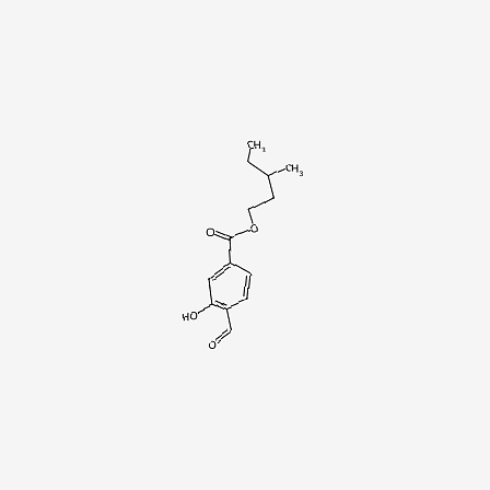 CCC(C)CCOC(=O)c1ccc(C=O)c(O)c1